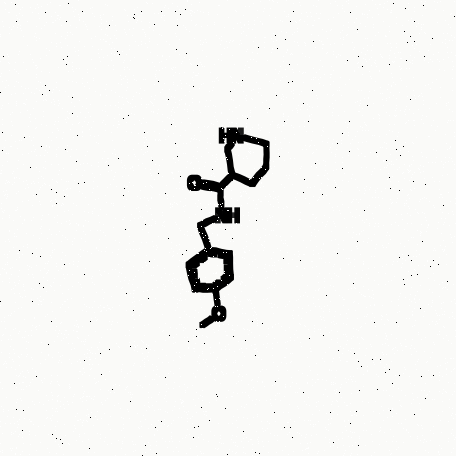 COc1ccc(CNC(=O)C2CCCNC2)cc1